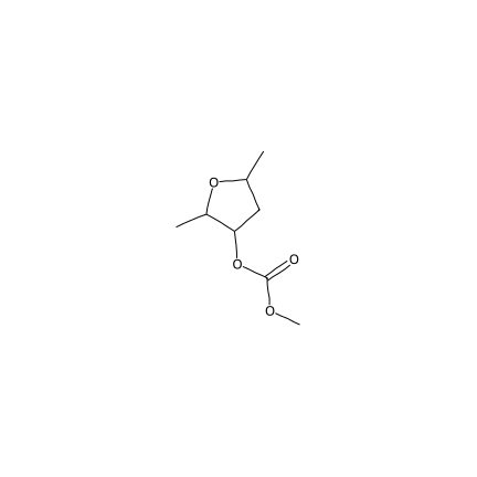 COC(=O)OC1CC(C)OC1C